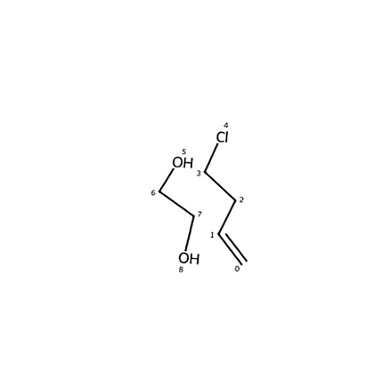 C=CCCCl.OCCO